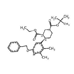 CCOC(=O)[C@H]1CN(C(=O)OC(C)(C)C)CC[C@H]1c1cc(OCc2ccccc2)nc(C)c1C